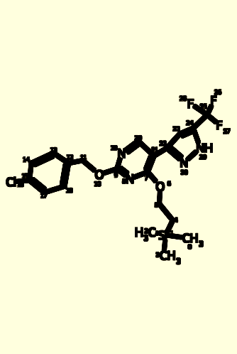 C[Si](C)(C)CCOc1nc(OCc2ccc(Cl)cc2)ncc1-c1cc(C(F)(F)F)[nH]n1